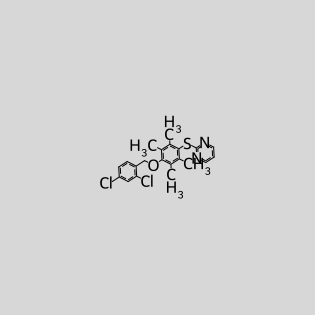 Cc1c(C)c(Sc2ncccn2)c(C)c(C)c1OCc1ccc(Cl)cc1Cl